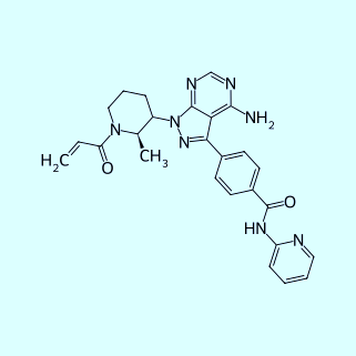 C=CC(=O)N1CCCC(n2nc(-c3ccc(C(=O)Nc4ccccn4)cc3)c3c(N)ncnc32)[C@H]1C